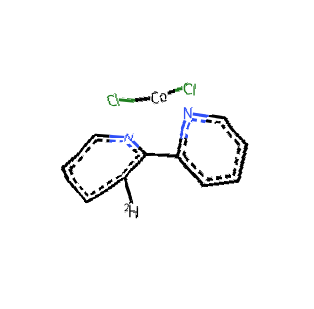 [2H]c1cccnc1-c1ccccn1.[Cl][Co][Cl]